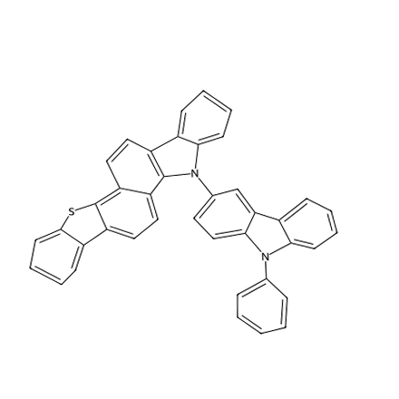 c1ccc(-n2c3ccccc3c3cc(-n4c5ccccc5c5ccc6c(ccc7c8ccccc8sc76)c54)ccc32)cc1